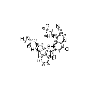 BC(Nc1cc(Cl)c2ncc(C#N)c(NCC(C)(C)C)c2c1)(C1=CN(CC(N)=O)NN1)c1ccccc1Cl